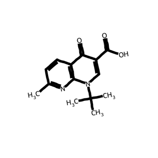 Cc1ccc2c(=O)c(C(=O)O)cn(C(C)(C)C)c2n1